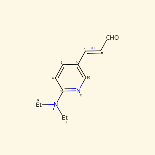 CCN(CC)c1ccc(/C=C/C=O)cn1